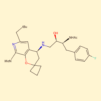 CNc1nc(CC(C)(C)C)cc2c1OC1(CCC1)C[C@@H]2NC[C@@H](O)[C@H](Cc1ccc(F)cc1)NC(C)=O